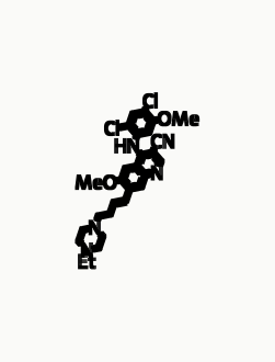 CCN1CCN(CCC=Cc2cc3ncc(C#N)c(Nc4cc(OC)c(Cl)cc4Cl)c3cc2OC)CC1